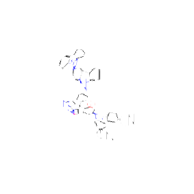 N#Cc1ccc2c(c1)c1cc(C#N)ccc1n2-c1ccc2c(c1)Oc1cc(-n3c4ccccc4c4cc(-n5c6ccccc6c6ccccc65)ccc43)ccc1C21c2cccnc2-c2ncccc21